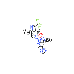 CCCCc1cc(-c2ncccn2)c(C)nc1NCN(CC)C(=O)[C@H](C)c1cc(OC)ncc1C(F)F